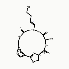 CC(C)C1NC(=O)[C@]2(C)COC(=N2)c2coc(n2)CNC(=O)C[C@@H](/C=C/CCS)OC1=O